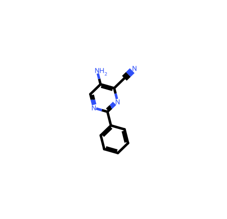 N#Cc1nc(-c2ccccc2)ncc1N